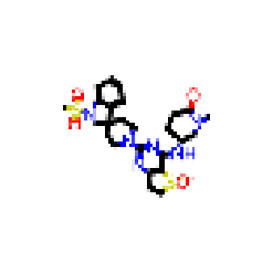 CN1C[C@@H](Nc2nc(N3CCC4(CC3)CN(S(C)(=O)=O)c3ccccc34)nc3c2[S+]([O-])CC3)CCC1=O